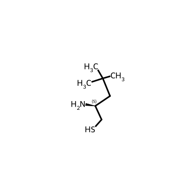 CC(C)(C)C[C@H](N)CS